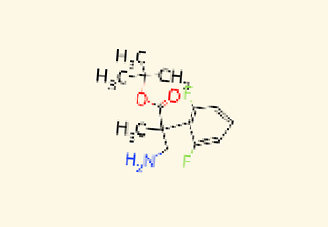 CC(C)(C)OC(=O)C(C)(CN)c1c(F)cccc1F